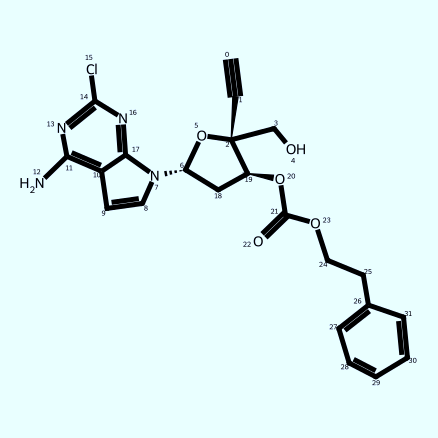 C#C[C@]1(CO)O[C@@H](n2ccc3c(N)nc(Cl)nc32)C[C@@H]1OC(=O)OCCc1ccccc1